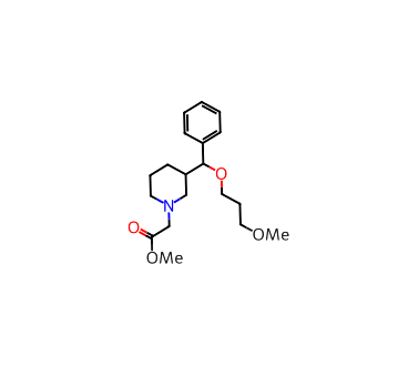 COCCCOC(c1ccccc1)C1CCCN(CC(=O)OC)C1